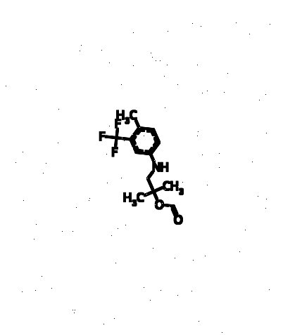 Cc1ccc(NCC(C)(C)OC=O)cc1C(F)(F)F